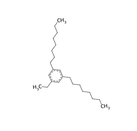 CCCCCCCCc1cc(CC)cc(CCCCCCCC)c1